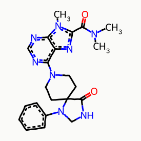 CN(C)C(=O)c1nc2c(N3CCC4(CC3)C(=O)NCN4c3ccccc3)ncnc2n1C